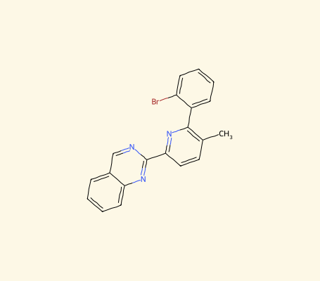 Cc1ccc(-c2ncc3ccccc3n2)nc1-c1ccccc1Br